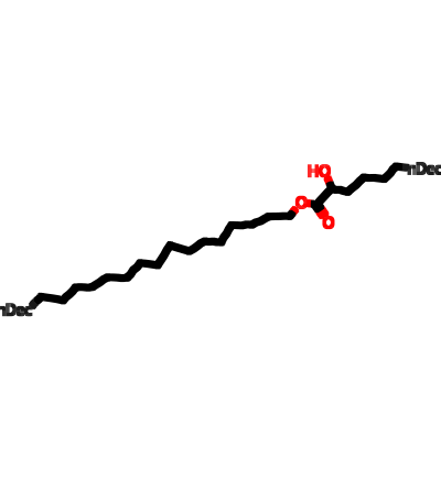 CCCCCCCCCCCCCCCCCCCCCCCCCCOC(=O)C(O)CCCCCCCCCCCCCC